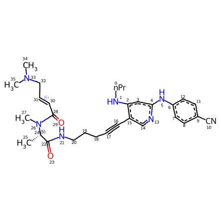 CCCNc1cc(Nc2ccc(C#N)cc2)ncc1C#CCCCNC(=O)[C@H](C)N(C)C(=O)/C=C/CN(C)C